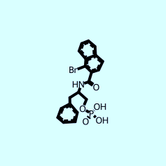 O=C(NC(COP(=O)(O)O)Cc1ccccc1)c1ccc2ccccc2c1Br